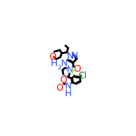 CCC(C1CCOCC1)n1ncc(C(=O)N2CCC[C@@]3(C2)OC(=O)Nc2ccc(Cl)c(F)c23)c1N